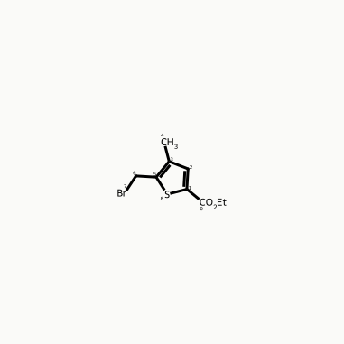 CCOC(=O)c1cc(C)c(CBr)s1